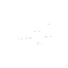 CCOC1=C(C)N=CC(=C=O)C1Cl